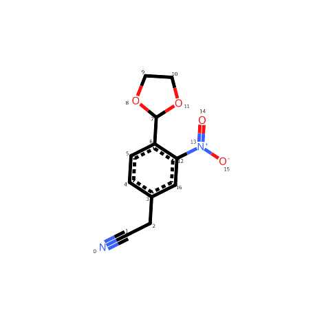 N#CCc1ccc(C2OCCO2)c([N+](=O)[O-])c1